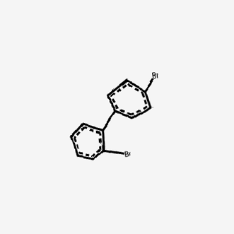 Brc1[c]cc(-c2ccccc2Br)cc1